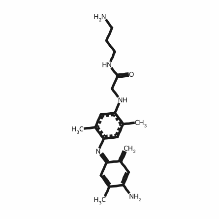 C=C1C=C(N)C(C)=C/C1=N/c1cc(C)c(NCC(=O)NCCCN)cc1C